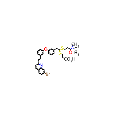 CN(C)C(=O)CCSC(Cc1cccc(Oc2cccc(C=Cc3ccc4ccc(Br)cc4n3)c2)c1)SCCC(=O)O